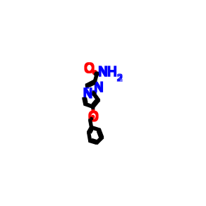 NC(=O)c1cn2ccc(OCc3ccccc3)cc2n1